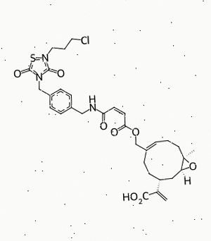 C=C(C(=O)O)[C@@H]1CC/C(COC(=O)/C=C\C(=O)NCc2ccc(Cn3c(=O)sn(CCCCl)c3=O)cc2)=C\CC[C@@]2(C)O[C@H]2C1